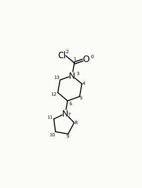 O=C(Cl)N1CCC(N2CCCC2)CC1